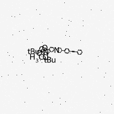 C[C@@H](OC(C)(C)C)[C@@H](C(=O)OC(C)(C)C)N1Cc2cc(N3CCC(c4ccc(C#Cc5ccccc5)cc4)CC3)ccc2C1=O